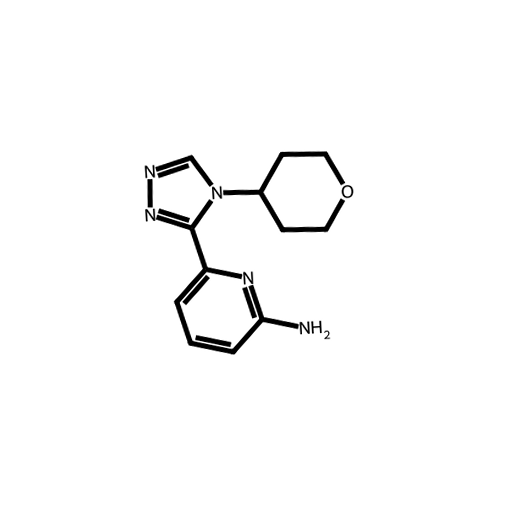 Nc1cccc(-c2nncn2C2CCOCC2)n1